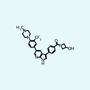 CN1CCN(c2ccc(-c3cnc4[nH]cc(-c5ccc(C(=O)N6CC(O)C6)cc5)c4c3)cc2C(F)(F)F)CC1